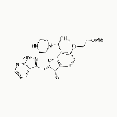 COCCOc1ccc2c(c1C(C)N1CCNCC1)O/C(=C\c1n[nH]c3ncccc13)C2=O